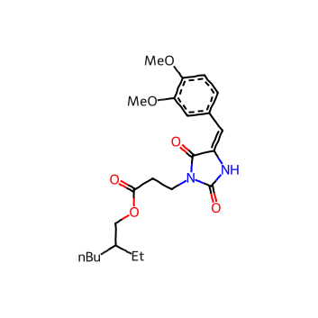 CCCCC(CC)COC(=O)CCN1C(=O)NC(=Cc2ccc(OC)c(OC)c2)C1=O